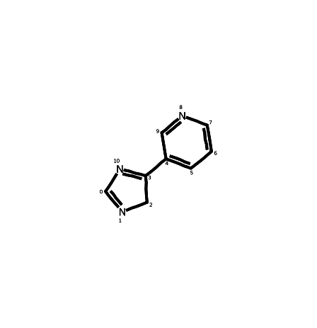 C1=NCC(c2cccnc2)=N1